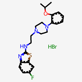 Br.CC(C)Oc1ccccc1N1CCN(CCNc2nc3ccc(F)cc3s2)CC1